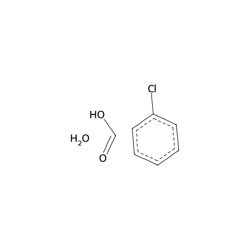 Clc1ccccc1.O.O=CO